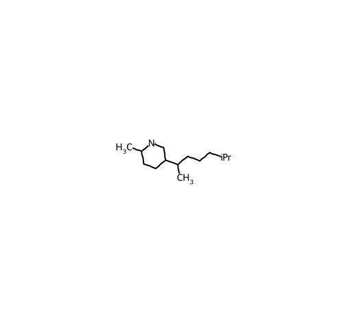 CC(C)CCCC(C)C1CCC(C)[N]C1